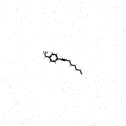 CCCCCCC#Cc1ccc(CO)cc1